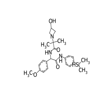 COc1ccc(C(NC(=O)C(C)(C)N2CC(O)C2)C(=O)Nc2ccc([SiH](C)C)cc2)cc1